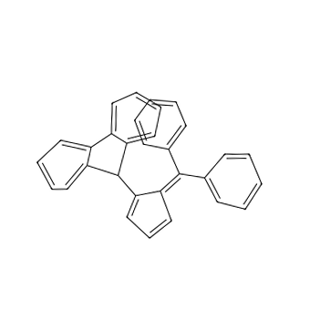 C1=CC(=C(c2ccccc2)c2ccccc2)C(C2c3ccccc3-c3ccccc32)=C1